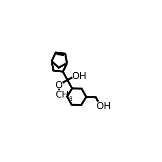 COC(O)(C1CCCC(CO)C1)C1CC2C=CC1C2